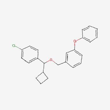 Clc1ccc(C(OCc2cccc(Oc3ccccc3)c2)C2CCC2)cc1